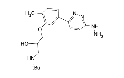 Cc1ccc(-c2ccc(NN)nn2)cc1OCC(O)CNC(C)(C)C